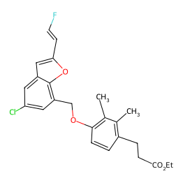 CCOC(=O)CCc1ccc(OCc2cc(Cl)cc3cc(/C=C/F)oc23)c(C)c1C